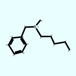 CCCCCB(C)Cc1ccccc1